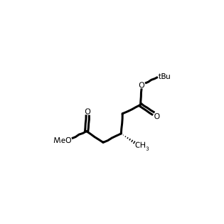 COC(=O)C[C@@H](C)CC(=O)OC(C)(C)C